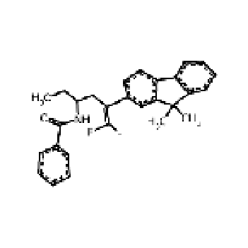 CCC(CC(=C(F)F)c1ccc2c(c1)C(C)(C)c1ccccc1-2)NC(=O)c1ccccc1